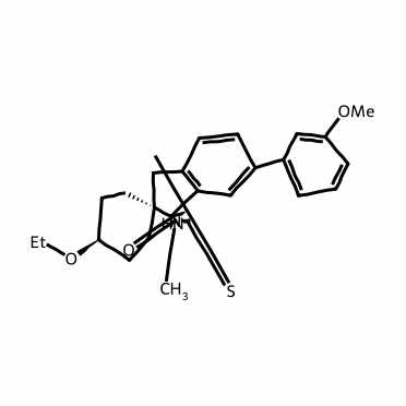 CCO[C@H]1CC[C@]2(CC1)Cc1ccc(-c3cccc(OC)c3)cc1C21NC(=S)N(C)C1=O